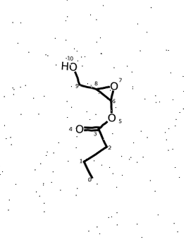 CCCC(=O)OC1OC1CO